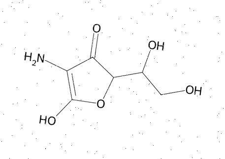 NC1=C(O)OC(C(O)CO)C1=O